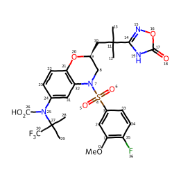 COc1cc(S(=O)(=O)N2C[C@H](CC(C)(C)c3noc(=O)[nH]3)Oc3ccc(N(C(=O)O)C(C)(C)C(F)(F)F)cc32)ccc1F